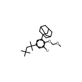 [Li][c]1cc(C(C)(C)CC(C)(C)C)cc(C23CC4CC(CC(C4)C2)C3)c1OCOC